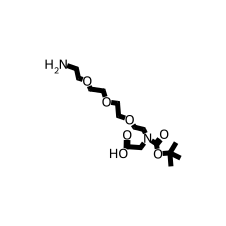 CC(C)(C)OC(=O)N(CCOCCOCCOCCN)CC(=O)O